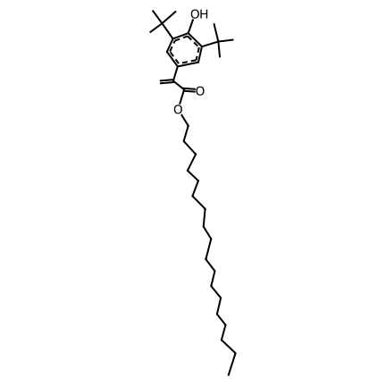 C=C(C(=O)OCCCCCCCCCCCCCCCCCC)c1cc(C(C)(C)C)c(O)c(C(C)(C)C)c1